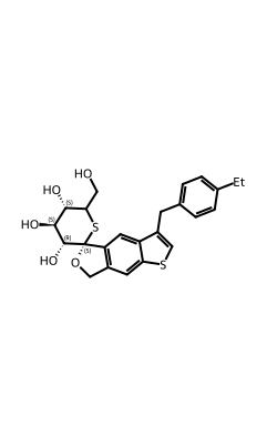 CCc1ccc(Cc2csc3cc4c(cc23)[C@]2(OC4)SC(CO)[C@@H](O)[C@H](O)[C@H]2O)cc1